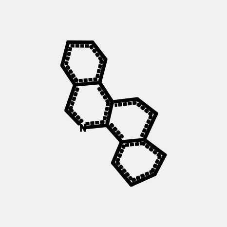 c1ccc2c(c1)cnc1c3ccccc3ccc21